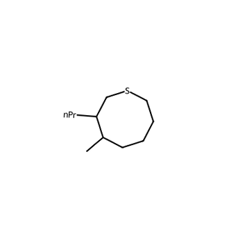 CCCC1CSCCCCC1C